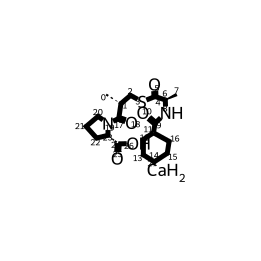 C[C@H](CSC(=O)[C@@H](C)NC(=O)C1CCCCC1)C(=O)N1CCC[C@H]1C(=O)O.[CaH2]